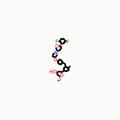 CSC1CC(O)CC(c2ccc(C)c(Cc3ccc(OC4CCN(C5CC[C@@H](c6cc(F)ccc6F)OC5)C4)cc3)c2)O1